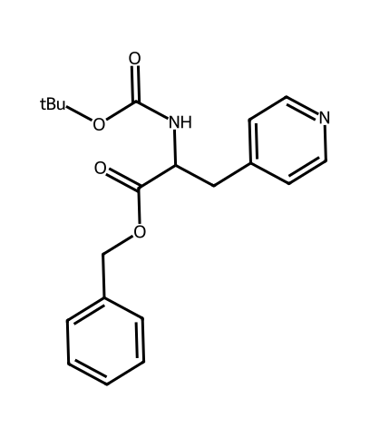 CC(C)(C)OC(=O)NC(Cc1ccncc1)C(=O)OCc1ccccc1